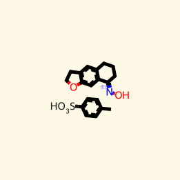 Cc1ccc(S(=O)(=O)O)cc1.O/N=C1\CCCc2cc3c(cc21)OCC3